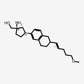 COCCC/C=C/C1CCc2cc([C@H]3CC[C@](N)(CO)C3)ccc2C1